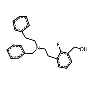 OCc1cccc(CCN(CCc2ccccc2)Cc2ccccc2)c1F